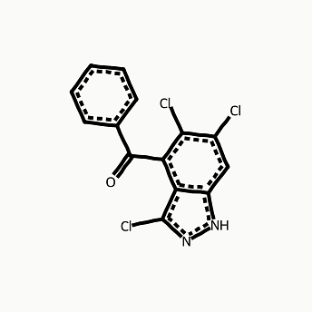 O=C(c1ccccc1)c1c(Cl)c(Cl)cc2[nH]nc(Cl)c12